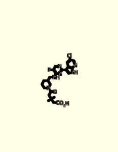 CC(C)(CC(=O)O)CC(=O)N1CCCC(CNc2nc(-c3c[nH]c4ncc(Cl)cc34)ncc2F)C1